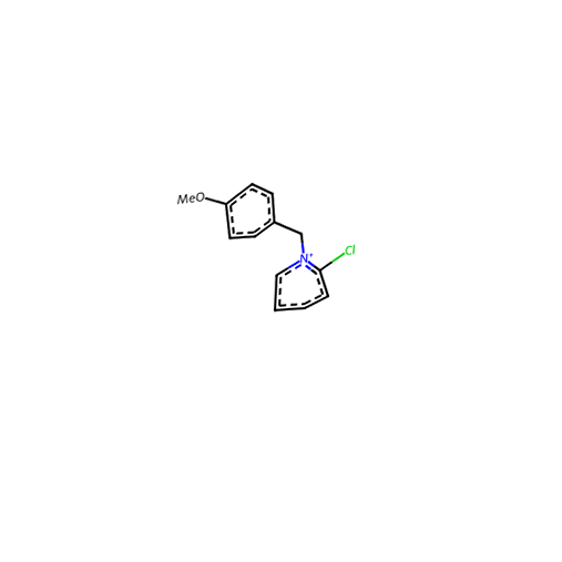 COc1ccc(C[n+]2ccccc2Cl)cc1